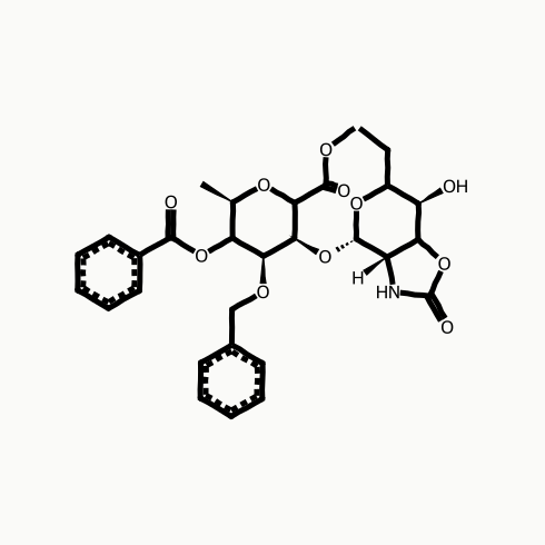 CCC1O[C@@H](O[C@@H]2C(C(=O)OC)O[C@H](C)C(OC(=O)c3ccccc3)[C@@H]2OCc2ccccc2)[C@H]2NC(=O)OC2[C@@H]1O